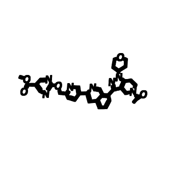 COC(=O)c1cnc(OCc2ccc(-c3cc4cccc(-c5nn(C6CCOCC6)c6c5CN(C(C)=O)CC6)c4cn3)cn2)nc1